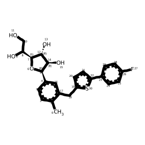 Cc1ccc([C@H]2O[C@@H](C(O)CO)[C@H](O)[C@H]2O)cc1Cc1ccc(-c2ccc(F)cc2)s1